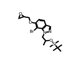 CC(Cn1ncc2ccc(OCC3CO3)c(Br)c21)O[Si](C)(C)C(C)(C)C